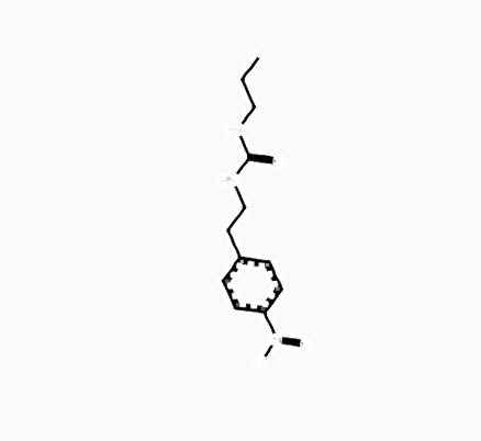 CCCNC(=O)NCCc1ccc([N+](=O)[O-])cc1